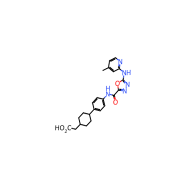 Cc1ccnc(Nc2nnc(C(=O)Nc3ccc(C4CCC(CC(=O)O)CC4)cc3)o2)c1